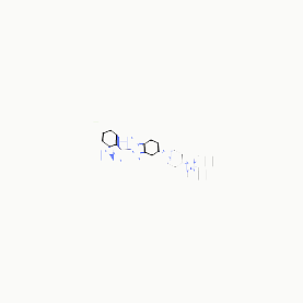 CN(C)C1CCN(c2ccc3[nH]c(-c4n[nH]c5cc(F)ccc45)nc3c2)CC1